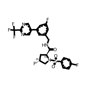 O=C(NCc1cc(F)cc(-c2cnc(C(F)(F)F)nc2)c1)[C@@H]1C[C@@H](F)CN1S(=O)(=O)c1ccc(F)cc1